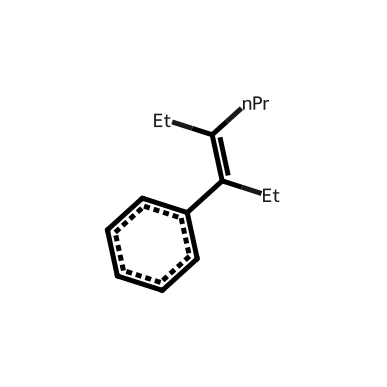 CCCC(CC)=C(CC)c1ccccc1